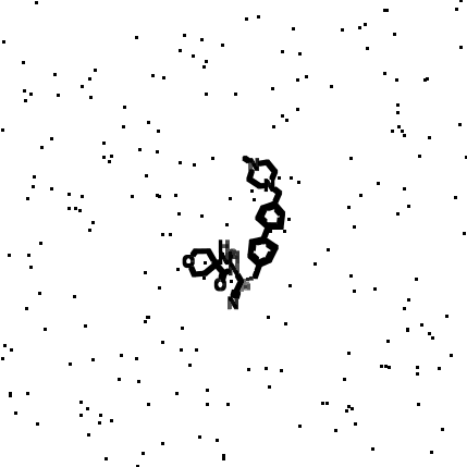 CN1CCN(Cc2ccc(-c3ccc(C[C@H](C#N)NC(=O)C4(N)CCOCC4)cc3)cc2)CC1